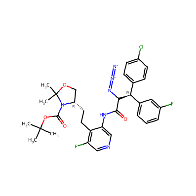 CC(C)(C)OC(=O)N1[C@@H](CCc2c(F)cncc2NC(=O)C(N=[N+]=[N-])[C@@H](c2ccc(Cl)cc2)c2cccc(F)c2)COC1(C)C